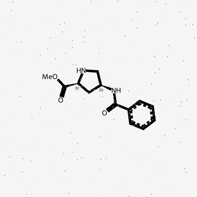 COC(=O)[C@@H]1C[C@H](NC(=O)c2ccccc2)CN1